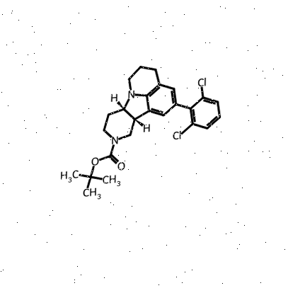 CC(C)(C)OC(=O)N1CC[C@H]2[C@@H](C1)c1cc(-c3c(Cl)cccc3Cl)cc3c1N2CCC3